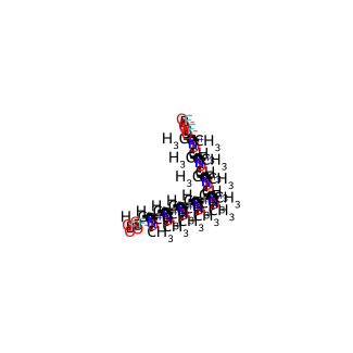 CCO[n+]1cc(C)ccc1C.CCO[n+]1cc(C)ccc1C.CCO[n+]1cc(C)ccc1C.CCO[n+]1cc(C)ccc1C.CCO[n+]1cc(C)ccc1C.CCO[n+]1cc(C)ccc1C.CCO[n+]1cc(C)ccc1C.CCO[n+]1cc(C)ccc1C.[O-]B([O-])F.[O-]B([O-])F.[O-]B([O-])F.[O-]B([O-])F